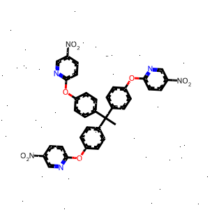 CC(c1ccc(Oc2ccc([N+](=O)[O-])cn2)cc1)(c1ccc(Oc2ccc([N+](=O)[O-])cn2)cc1)c1ccc(Oc2ccc([N+](=O)[O-])cn2)cc1